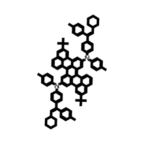 Cc1ccc(C(=CC2CCCCC2)c2ccc(N(c3ccc(C)cc3)c3cc4c5cc(C(C)(C)C)cc6cccc(c65)c5c6cc(N(c7ccc(C)cc7)c7ccc(C(=CC8CCCCC8)c8ccc(C)cc8)cc7)cc7c8cc(C(C)(C)C)cc9cccc(c98)c(c(c3)c45)c76)cc2)cc1